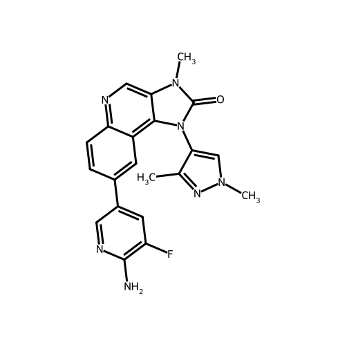 Cc1nn(C)cc1-n1c(=O)n(C)c2cnc3ccc(-c4cnc(N)c(F)c4)cc3c21